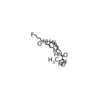 Cc1nonc1C(=O)NCc1cn2ncc(CNC(=O)CCCF)cc2n1